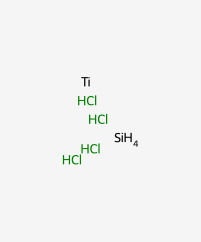 Cl.Cl.Cl.Cl.[SiH4].[Ti]